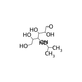 CC(C)O.O=CC(O)C(O)C(O)C(O)CO